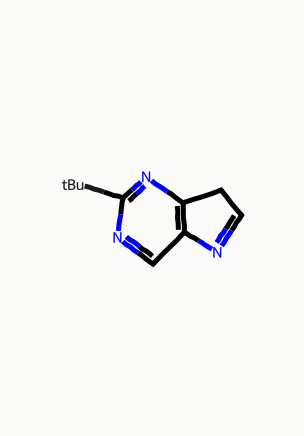 CC(C)(C)c1ncc2c(n1)CC=N2